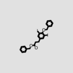 O=C(CCc1cc(I)c(OCc2ccccc2)c(I)c1)OCc1ccccc1